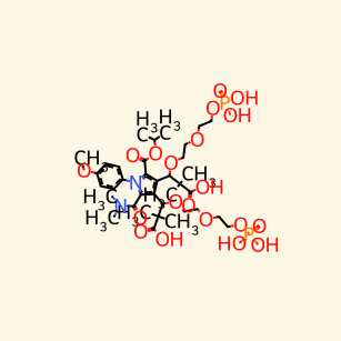 COc1ccc(-n2c(C(=O)OC(C)C)c(C(OCCOCCOP(=O)(O)O)C(C)(C)C(=O)O)c(C(OCCOCCOP(=O)(O)O)C(C)(C)C(=O)O)c2C(=O)N(C)C)cc1